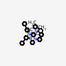 Cc1cc(C)c2c(c1)C1(C)CCc3ccccc3C1(C)N2c1cc2c3c(c1)N(c1ccc(-c4ccccc4)cc1)c1ccc(-c4ccccc4)cc1B3c1ccccc1N2c1ccccc1